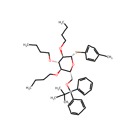 CCCCO[C@@H]1[C@@H](OCCCC)[C@H](Sc2ccc(C)cc2)O[C@H](CO[Si](c2ccccc2)(c2ccccc2)C(C)(C)C)[C@H]1OCCCC